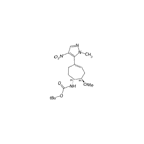 CO[C@@H]1CC=C(c2c([N+](=O)[O-])cnn2C)CC[C@H]1NC(=O)OC(C)(C)C